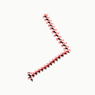 CC(=O)O.CC(=O)O.CC(=O)O.CC(=O)O.CC(=O)O.CC(=O)O.CC(=O)O.CC(=O)O.CC(=O)O.CC(=O)O.CC(=O)O.CC(=O)O.CC(=O)O.CC(=O)O.CC(=O)O.CC(=O)O.CC(=O)O.CC(=O)O.CC(=O)O.CC(=O)O.CC(=O)O.CC(=O)O.CC(=O)O.CC(=O)O.CCOC(=O)CCO